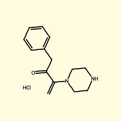 C=C(C(=O)Cc1ccccc1)N1CCNCC1.Cl